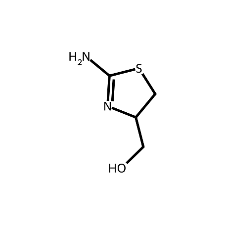 NC1=NC(CO)CS1